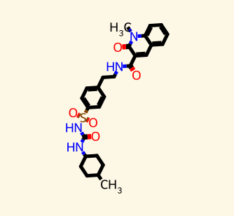 CC1CCC(NC(=O)NS(=O)(=O)c2ccc(CCNC(=O)c3cc4ccccc4n(C)c3=O)cc2)CC1